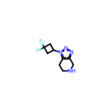 FC1(F)CC(n2nnc3c2CCNC3)C1